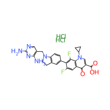 Cl.Cl.Nc1ncc(CN2CCc3cc(-c4c(F)cc5c(=O)c(C(=O)O)cn(C6CC6)c5c4F)ccc32)c(N)n1